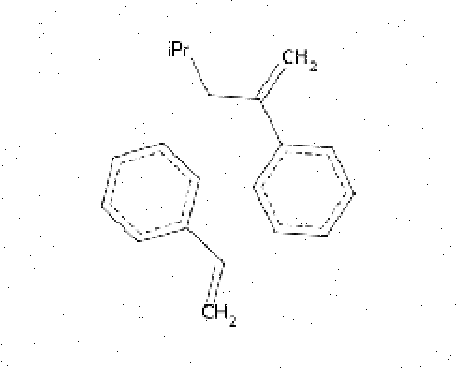 C=C(CC(C)C)c1ccccc1.C=Cc1ccccc1